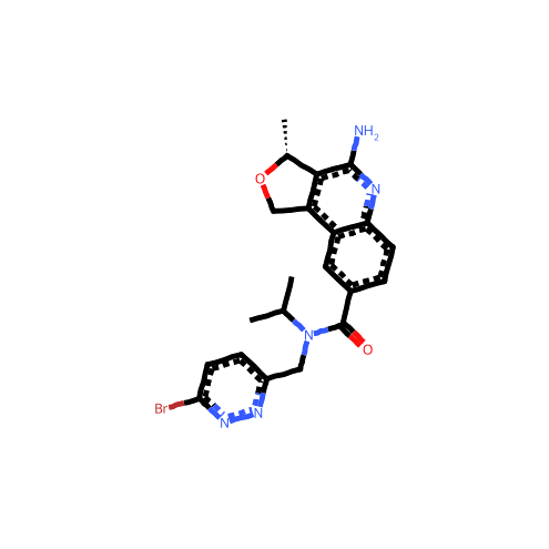 CC(C)N(Cc1ccc(Br)nn1)C(=O)c1ccc2nc(N)c3c(c2c1)CO[C@@H]3C